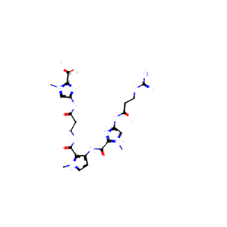 Cn1cc(NC(=O)CCNC(=O)c2c(NC(=O)c3nc(NC(=O)CCNC(=N)N)cn3C)ccn2C)nc1C(=O)O